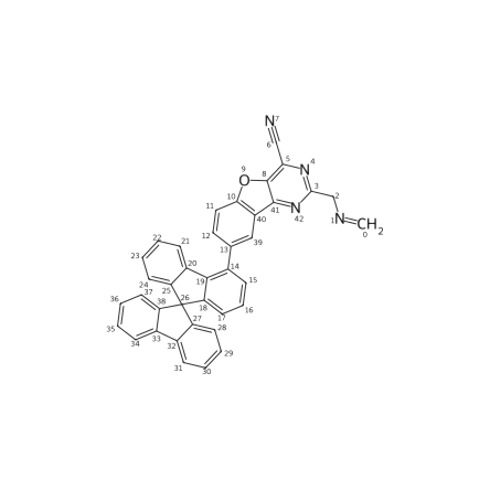 C=NCc1nc(C#N)c2oc3ccc(-c4cccc5c4-c4ccccc4C54c5ccccc5-c5ccccc54)cc3c2n1